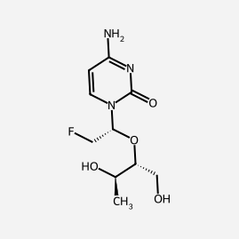 C[C@@H](O)[C@@H](CO)O[C@H](CF)n1ccc(N)nc1=O